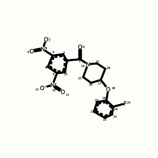 O=C(c1cc([N+](=O)[O-])cc([N+](=O)[O-])c1)N1CCC(Oc2ccccc2F)CC1